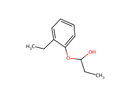 CCc1ccccc1OC(O)CC